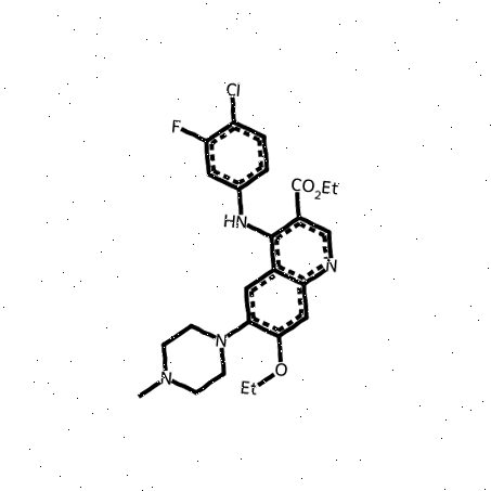 CCOC(=O)c1cnc2cc(OCC)c(N3CCN(C)CC3)cc2c1Nc1ccc(Cl)c(F)c1